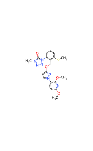 COc1ccc(-n2ccc(OCc3c(SC)cccc3-n3nnn(C)c3=O)n2)c(OC)n1